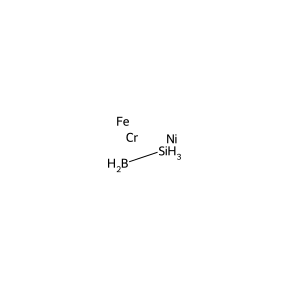 B[SiH3].[Cr].[Fe].[Ni]